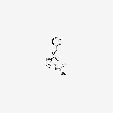 CC(C)(C)[S@+]([O-])/N=C/C1(NC(=O)OCc2ccccc2)CC1